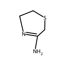 NC1=NCCSC1